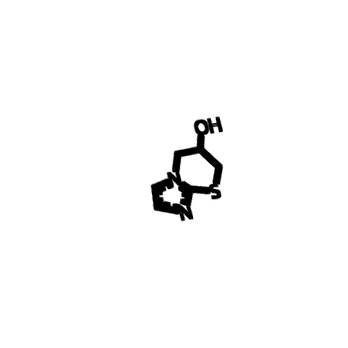 OC1CSc2nccn2C1